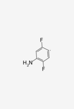 Nc1cc(F)[c]cc1F